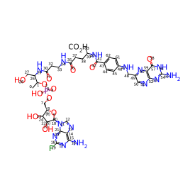 CC(OP(=O)(O)OC[C@H]1O[C@@H](n2cnc3c(N)nc(F)nc32)[C@@H](O)C1O)C(CO)NC(=O)CCNC(=O)CCC(NC(=O)c1ccc(NCc2cnc3nc(N)[nH]c(=O)c3n2)cc1)C(=O)O